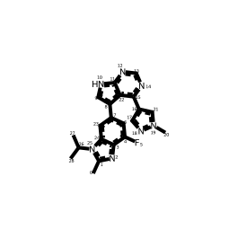 Cc1nc2c(F)cc(-c3c[nH]c4ncnc(-c5cnn(C)c5)c34)cc2n1C(C)C